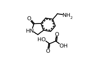 NCc1ccc2c(c1)C(=O)NC2.O=C(O)C(=O)O